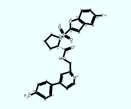 O=C(NCc1cc(-c2ccc(C(F)(F)F)cc2)ccn1)[C@@H]1CCCN1S(=O)(=O)c1cc2cc(F)ccc2o1